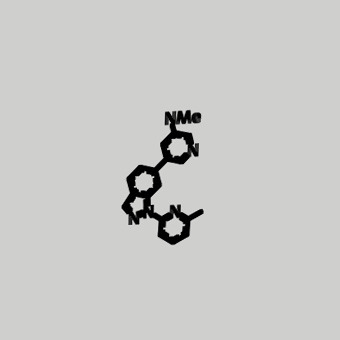 CNc1cncc(-c2ccc3cnn(-c4cccc(C)n4)c3c2)c1